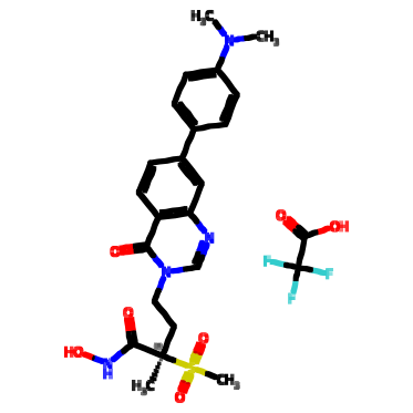 CN(C)c1ccc(-c2ccc3c(=O)n(CC[C@](C)(C(=O)NO)S(C)(=O)=O)cnc3c2)cc1.O=C(O)C(F)(F)F